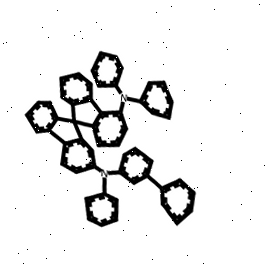 c1ccc(-c2cccc(N(c3ccccc3)c3ccc4c(c3)C3(c5ccccc5-4)c4ccccc4-c4c(N(c5ccccc5)c5ccccc5)cccc43)c2)cc1